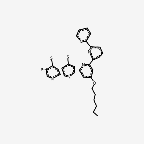 CCCCCCOc1ccnc(-c2cccc(-c3ccccn3)n2)c1.[Pt+2].[S-]c1ccncc1.[S-]c1ccncc1